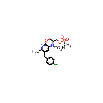 Cc1nc2c(cc1Cc1ccc(F)cc1)N(C(=O)O)C(COS(C)(=O)=O)CO2